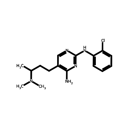 CC(CCc1cnc(Nc2ccccc2Cl)nc1N)N(C)C